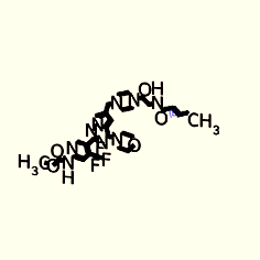 CC/C=C/C(=O)NCC(=O)N1CCN(Cc2cc3c(N4CCOCC4)nc(-c4cnc(NC(=O)OC)cc4C(F)(F)F)nn3c2)CC1